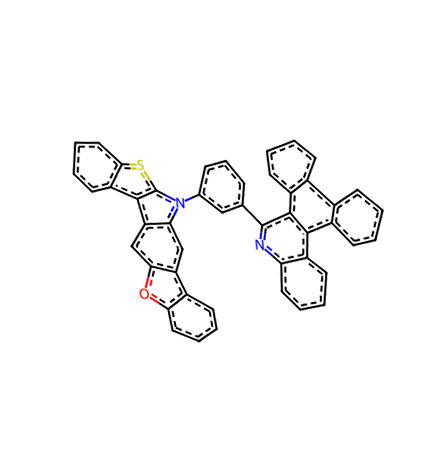 c1cc(-c2nc3ccccc3c3c4ccccc4c4ccccc4c23)cc(-n2c3cc4c(cc3c3c5ccccc5sc32)oc2ccccc24)c1